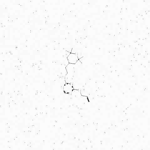 C=CCNc1ncnc(NCCC2CC(C)(C)NC(C)(C)C2)n1